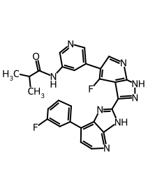 CC(C)C(=O)Nc1cncc(-c2cnc3[nH]nc(-c4nc5c(-c6cccc(F)c6)ccnc5[nH]4)c3c2F)c1